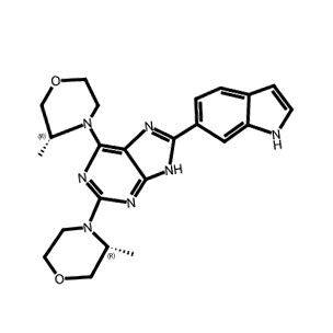 C[C@@H]1COCCN1c1nc(N2CCOC[C@H]2C)c2nc(-c3ccc4cc[nH]c4c3)[nH]c2n1